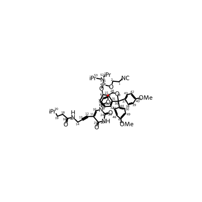 [C-]#[N+]CCOP(O[C@@H]1C[C@H](n2cc(C#CCNC(=O)CCC(C)C)c(=O)[nH]c2=O)O[C@@H]1COC(c1ccccc1)(c1ccc(OC)cc1)c1ccc(OC)cc1)N(C(C)C)C(C)C